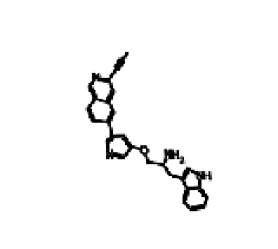 CC#Cc1cc2cc(-c3cncc(OC[C@@H](N)Cc4c[nH]c5ccccc45)c3)ccc2cn1